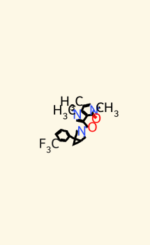 Cc1cn(C)c(=O)c2c(C(=O)N3CC4CC4(c4cccc(C(F)(F)F)c4)C3)cn(C)c12